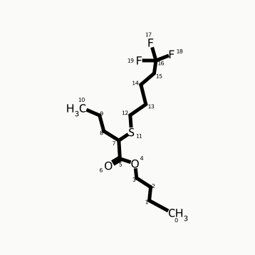 CCCCOC(=O)C(CCC)SCCCCC(F)(F)F